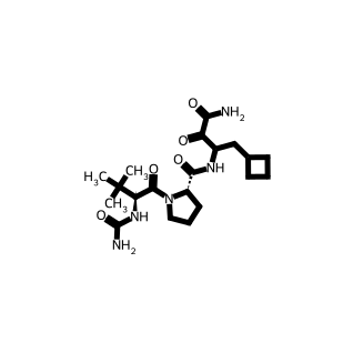 CC(C)(C)[C@H](NC(N)=O)C(=O)N1CCC[C@H]1C(=O)NC(CC1CCC1)C(=O)C(N)=O